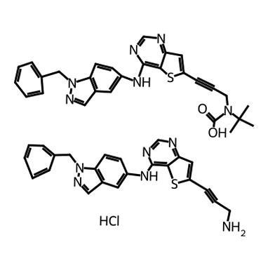 CC(C)(C)N(CC#Cc1cc2ncnc(Nc3ccc4c(cnn4Cc4ccccc4)c3)c2s1)C(=O)O.Cl.NCC#Cc1cc2ncnc(Nc3ccc4c(cnn4Cc4ccccc4)c3)c2s1